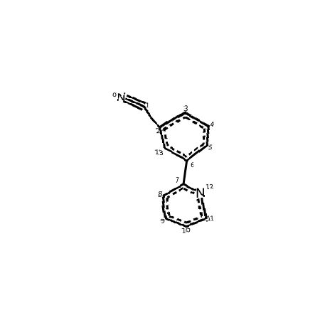 N#Cc1cccc(-c2ccc[c]n2)c1